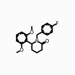 COc1cccc(OC)c1C1CCCC(=O)N1Cc1ccc(F)cc1